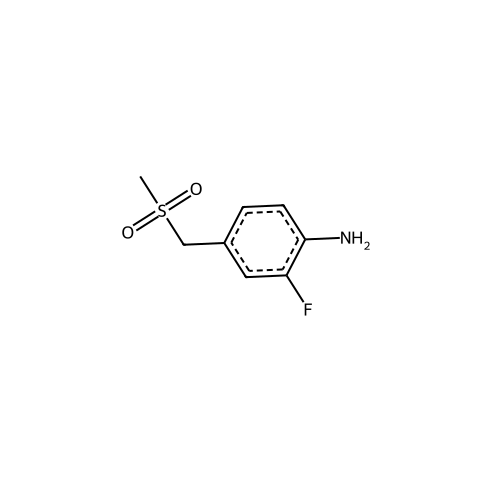 CS(=O)(=O)Cc1ccc(N)c(F)c1